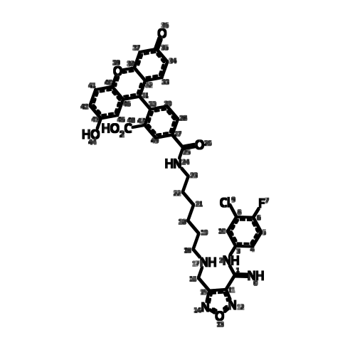 N=C(Nc1ccc(F)c(Cl)c1)c1nonc1CNCCCCCCNC(=O)c1ccc(-c2c3ccc(=O)cc-3oc3ccc(O)cc23)c(C(=O)O)c1